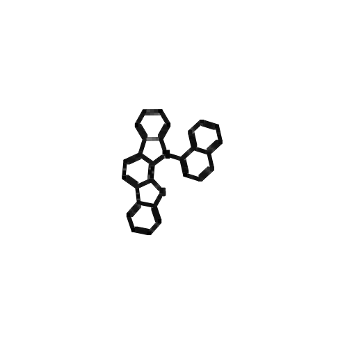 c1ccc2c(-n3c4ccccc4c4ccc5c6ccccc6sc5c43)cccc2c1